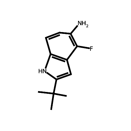 CC(C)(C)c1cc2c(F)c(N)ccc2[nH]1